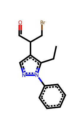 CCc1c(C(C=O)CBr)cnn1-c1ccccc1